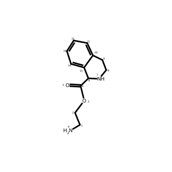 NCCOC(=O)C1NCCc2ccccc21